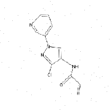 C=CC(=O)Nc1cn(-c2cccnc2)nc1Cl